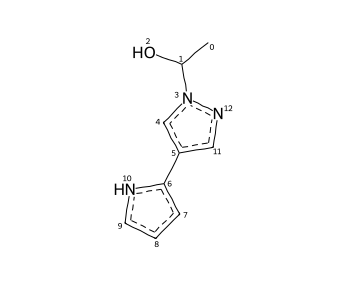 CC(O)n1cc(-c2ccc[nH]2)cn1